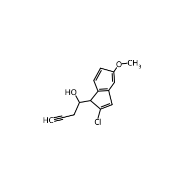 C#CCC(O)C1C(Cl)=Cc2cc(OC)ccc21